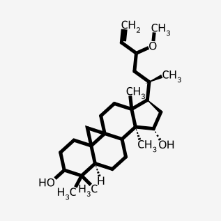 C=CC(C[C@@H](C)[C@H]1C[C@H](O)[C@@]2(C)C3CC[C@H]4C(C)(C)C(O)CCC45CC35CCC12C)OC